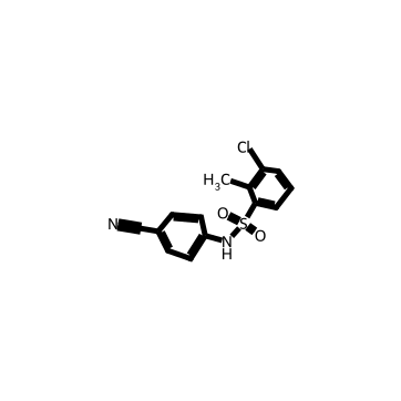 Cc1c(Cl)cccc1S(=O)(=O)Nc1ccc(C#N)cc1